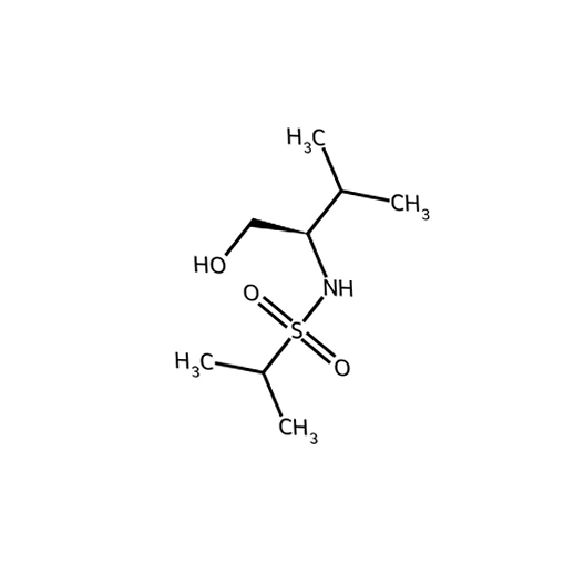 CC(C)[C@H](CO)NS(=O)(=O)C(C)C